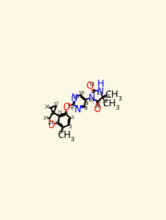 Cc1ccc(Oc2ncc(N3C(=O)NC(C)(C)C3=O)cn2)c2c1OCC21CC1